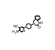 N#Cc1cc(N2CCC(N3CC(=O)Nc4ccccc4C3)CC2)ncc1N